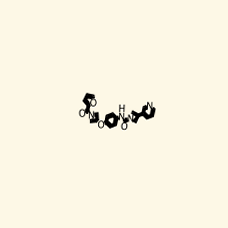 O=C(Nc1ccc(OC2CN(C(=O)c3ccco3)C2)cc1)N1CC(c2cccnc2)C1